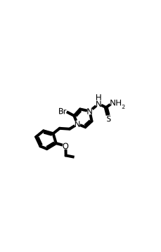 CCOc1ccccc1CCN1C=CN(NC(N)=S)C=C1Br